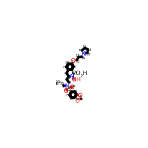 CC(C)CN(CCC(Cc1ccc(OCCCN2CCCC2)cc1)N(O)C(=O)O)S(=O)(=O)c1ccc2c(c1)OCO2